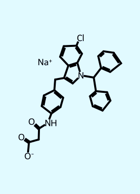 O=C([O-])CC(=O)Nc1ccc(Cc2cn(C(c3ccccc3)c3ccccc3)c3cc(Cl)ccc23)cc1.[Na+]